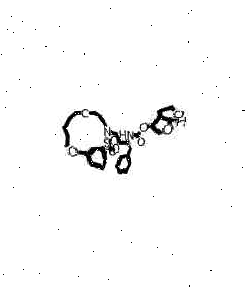 O=C(N[C@@H](Cc1ccccc1)[C@H](O)CN1CCCCCCCCCOc2cccc(c2)S1(=O)=O)O[C@H]1CO[C@H]2OCCC21